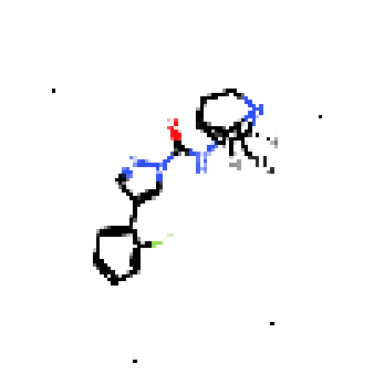 C[C@H]1[C@H](NC(=O)n2cc(-c3ccccc3F)cn2)C2CCN1CC2